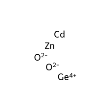 [Cd].[Ge+4].[O-2].[O-2].[Zn]